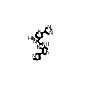 c1cncc(-c2cncc3[nH]c(-c4n[nH]c5cnc(-c6cncnc6)cc45)nc23)c1